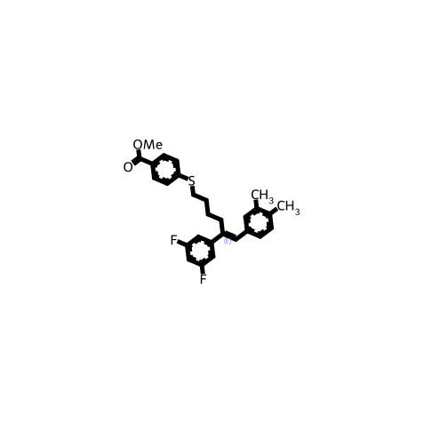 COC(=O)c1ccc(SCCCC/C(=C\c2ccc(C)c(C)c2)c2cc(F)cc(F)c2)cc1